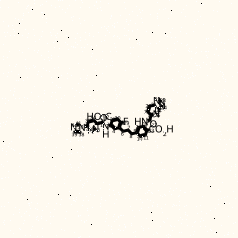 O=C(Nc1cc(CCCc2ccc(C(=O)O)c(NC(=O)c3ccc4nnnn4n3)c2)c(F)cc1C(=O)O)c1ccc(-n2ccnc2)nn1